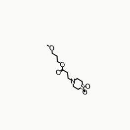 COCCCOC(=O)CCN1CCS(=O)(=O)CC1